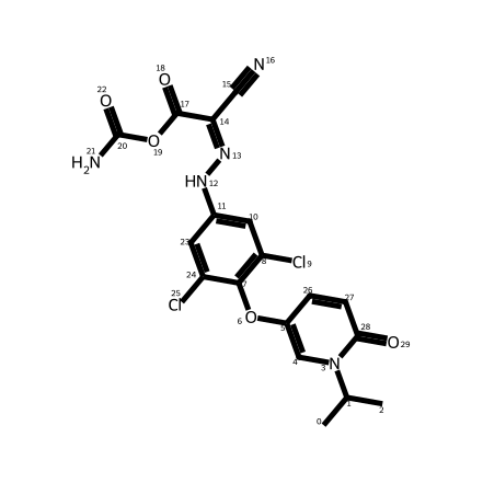 CC(C)n1cc(Oc2c(Cl)cc(NN=C(C#N)C(=O)OC(N)=O)cc2Cl)ccc1=O